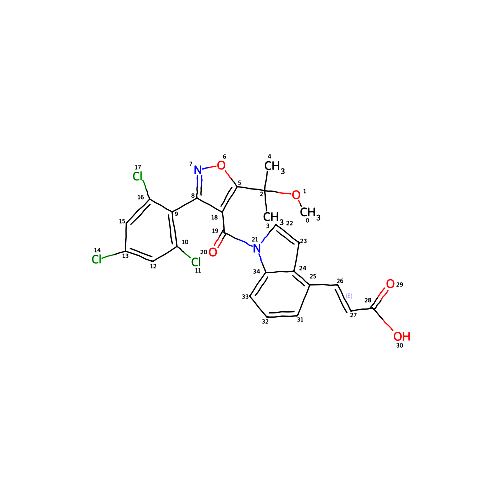 COC(C)(C)c1onc(-c2c(Cl)cc(Cl)cc2Cl)c1C(=O)n1ccc2c(/C=C/C(=O)O)cccc21